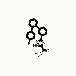 NC(=O)c1nc(-c2cccc(-c3ccccc3-c3ccc(F)cc3)c2)n[nH]1